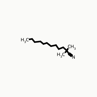 CCCCCCCCCCC(C)(C)C#N